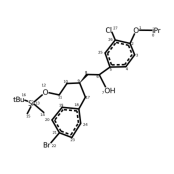 CC(C)Oc1ccc(C(O)C[C@H](CCO[Si](C)(C)C(C)(C)C)Cc2ccc(Br)cc2)cc1Cl